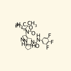 CC(C)C[C@@H]1N(c2cnn3c2CN(C(=O)Nc2cc(F)c(F)c(F)c2)[C@H]2CCC[C@H]23)C(=O)OC1(C)C